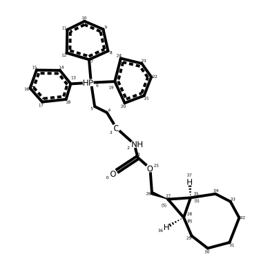 O=C(NCCC[PH](c1ccccc1)(c1ccccc1)c1ccccc1)OC[C@@H]1[C@@H]2CCCCCC[C@@H]21